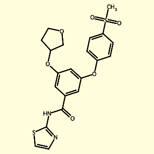 CS(=O)(=O)c1ccc(Oc2cc(OC3CCOC3)cc(C(=O)Nc3nccs3)c2)cc1